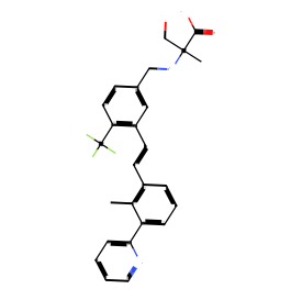 Cc1c(/C=C/c2cc(CNC(C)(CO)C(=O)O)ccc2C(F)(F)F)cccc1-c1ccccn1